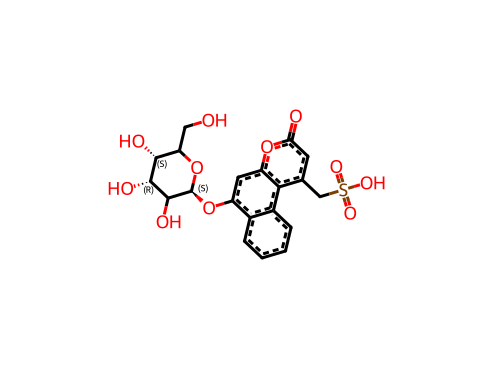 O=c1cc(CS(=O)(=O)O)c2c(cc(O[C@@H]3OC(CO)[C@@H](O)[C@@H](O)C3O)c3ccccc32)o1